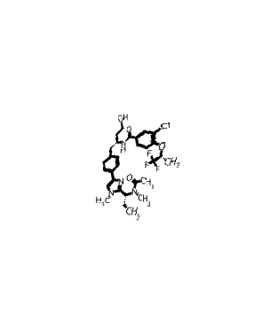 CC[C@H](c1nc(-c2ccc(C[C@@H](CCO)NC(=O)c3ccc(O[C@H](C)C(F)(F)F)c(Cl)c3)cc2)cn1C)N(C)C(C)=O